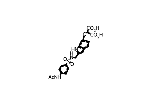 CC(=O)Nc1ccc(S(=O)(=O)NCc2cc3ccc(OC(C(=O)O)C(=O)O)cc3[nH]2)cc1